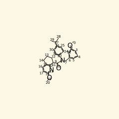 COc1cccc(CN(C(=O)C2CCCc3ccc(OC)nc32)c2ccc(C(C)C)cc2)c1